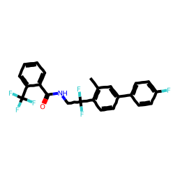 Cc1cc(-c2ccc(F)cc2)ccc1C(F)(F)CNC(=O)c1ccccc1C(F)(F)F